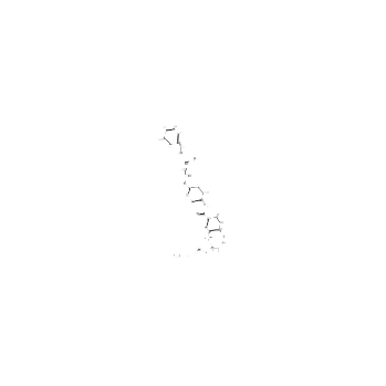 COC(=O)CC1CCCc2ccc(C(=O)Nc3ccc(/C=N/NC(=O)OCc4ccccc4)cc3)cc2N1